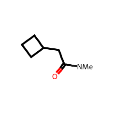 CNC(=O)CC1CCC1